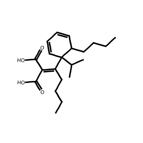 CCCCC(=C(C(=O)O)C(=O)O)C1(C(C)C)C=CC=CC1CCCC